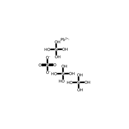 O=S(=O)([O-])[O-].O[Si](O)(O)O.O[Si](O)(O)O.O[Si](O)(O)O.[Pb+2]